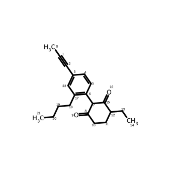 CC#Cc1ccc(C2C(=O)CCC(CC)C2=O)c(CCCC)c1